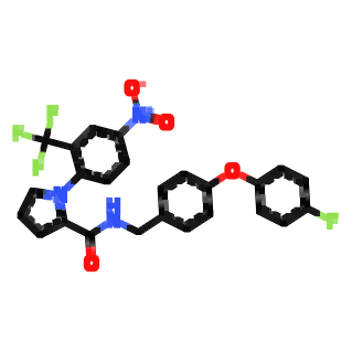 O=C(NCc1ccc(Oc2ccc(F)cc2)cc1)c1cccn1-c1ccc([N+](=O)[O-])cc1C(F)(F)F